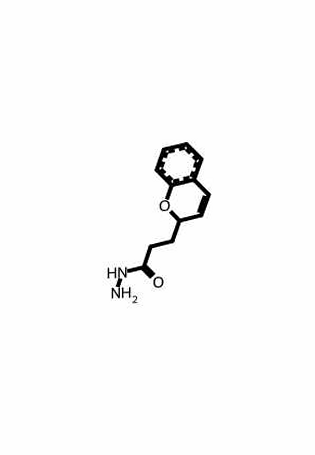 NNC(=O)CCC1C=Cc2ccccc2O1